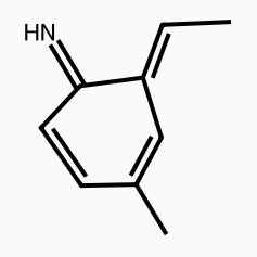 CC=C1C=C(C)C=CC1=N